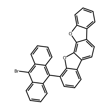 Brc1c2ccccc2c(-c2cccc3c2oc2c3ccc3c4ccccc4oc32)c2ccccc12